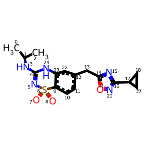 CC(C)NC1=NS(=O)(=O)c2ccc(Cc3nc(C4CC4)no3)cc2N1